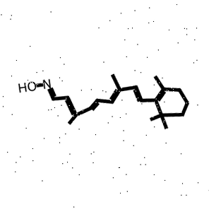 CC(C=CC1=C(C)CCCC1(C)C)=CC=CC(C)=CC=NO